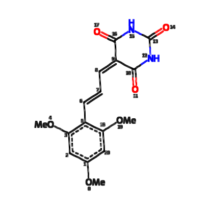 COc1cc(OC)c(/C=C/C=C2C(=O)NC(=O)NC2=O)c(OC)c1